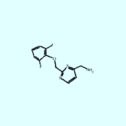 NCc1ccnc(COc2c(F)cccc2F)n1